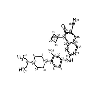 CC(C)N1CCN(c2ccc(Nc3ncc4cc(C#N)c(=O)n(C56CC(C5)C6)c4n3)cc2F)CC1